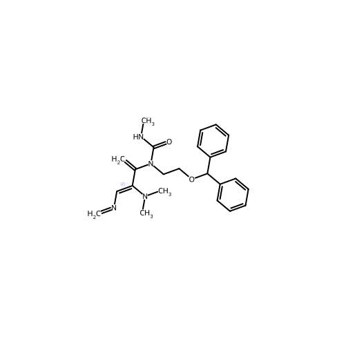 C=N/C=C(/C(=C)N(CCOC(c1ccccc1)c1ccccc1)C(=O)NC)N(C)C